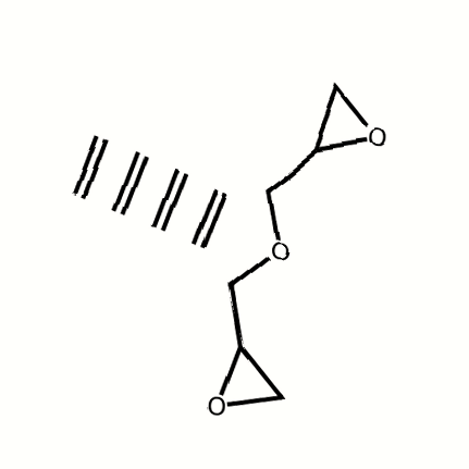 C(OCC1CO1)C1CO1.C=C.C=C.C=C.C=C